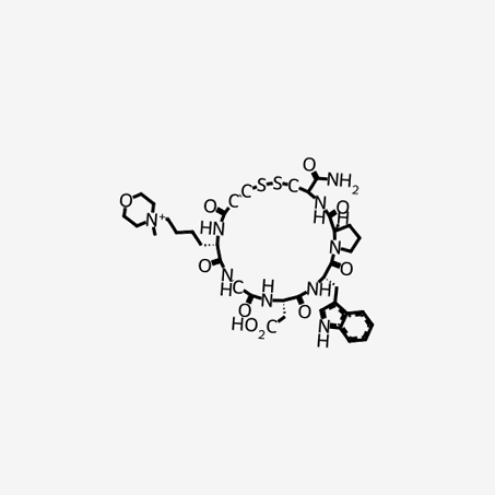 C[N+]1(CCCC[C@@H]2NC(=O)CCSSCC(C(N)=O)NC(=O)[C@@H]3CCCN3C(=O)[C@H](Cc3c[nH]c4ccccc34)NC(=O)[C@H](CC(=O)O)NC(=O)CNC2=O)CCOCC1